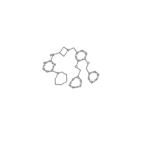 c1ccc(COc2ccc(CN3CC(Nc4nccc(N5CCCCCC5)n4)C3)cc2OCc2ccccc2)cc1